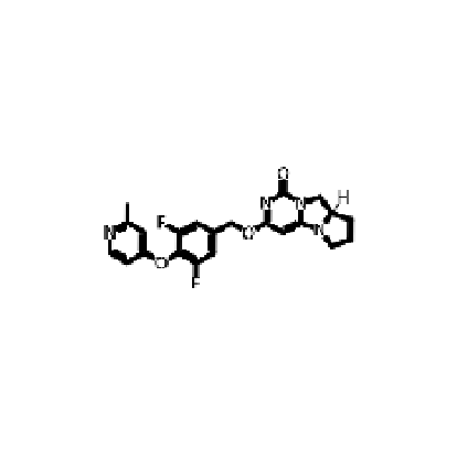 Cc1cc(Oc2c(F)cc(COc3cc4n(c(=O)n3)C[C@H]3CCCN43)cc2F)ccn1